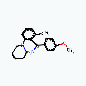 COc1ccc([C@@H](N)c2c(C)cccc2N2CCCCC2)cc1